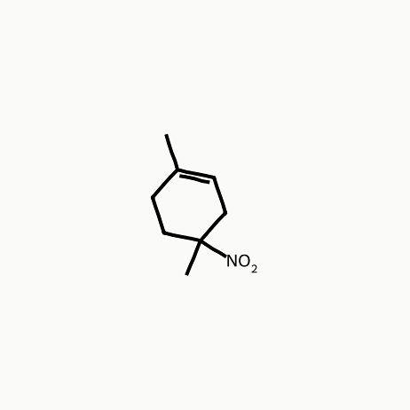 CC1=CCC(C)([N+](=O)[O-])CC1